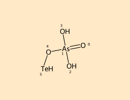 O=[As](O)(O)O[TeH]